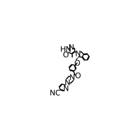 Cc1c(N2Cc3ccccc3[C@H]2COc2cccc(C(=O)N3CCN(c4ccc(C#N)cn4)CC3)c2)cn[nH]c1=O